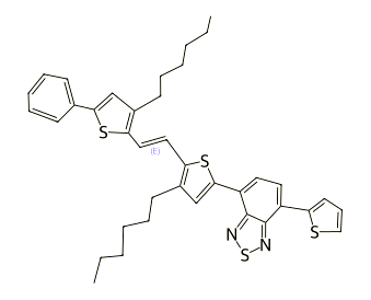 CCCCCCc1cc(-c2ccccc2)sc1/C=C/c1sc(-c2ccc(-c3cccs3)c3nsnc23)cc1CCCCCC